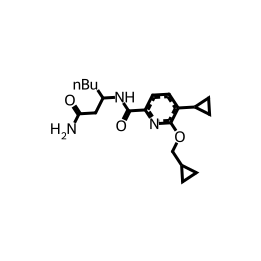 CCCCC(CC(N)=O)NC(=O)c1ccc(C2CC2)c(OCC2CC2)n1